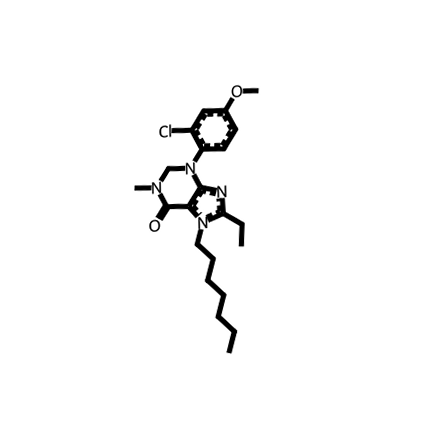 CCCCCCCn1c(CC)nc2c1C(=O)N(C)CN2c1ccc(OC)cc1Cl